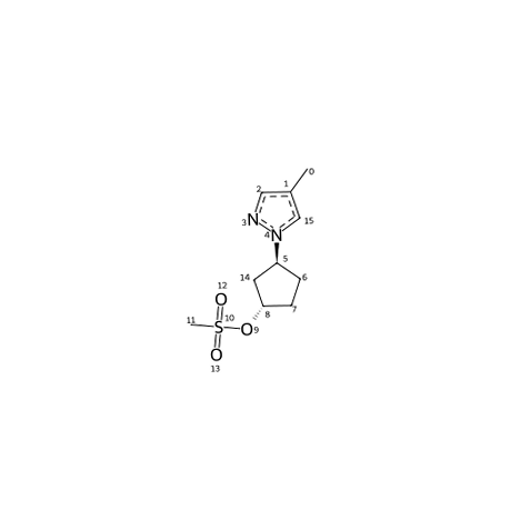 Cc1cnn([C@H]2CC[C@H](OS(C)(=O)=O)C2)c1